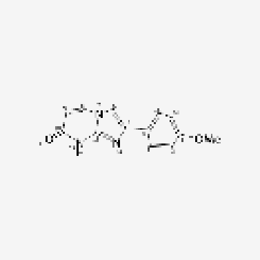 COc1ccc(-c2cn3ccc(=O)[nH]c3n2)cc1